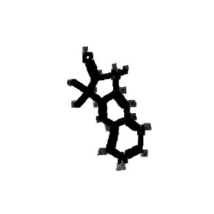 CN1C(=O)C(C)(C)c2cc3cncnc3cc21